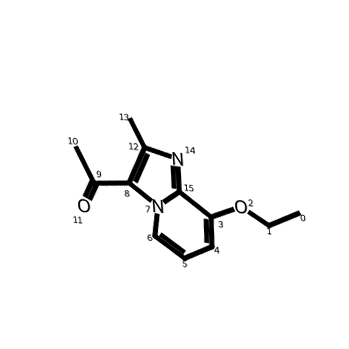 CCOc1cccn2c(C(C)=O)c(C)nc12